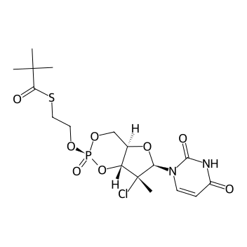 CC(C)(C)C(=O)SCCO[P@@]1(=O)OC[C@H]2O[C@@H](n3ccc(=O)[nH]c3=O)[C@](C)(Cl)[C@@H]2O1